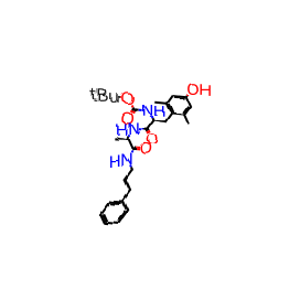 Cc1cc(O)cc(C)c1C[C@H](NC(=O)OC(C)(C)C)C(=O)N[C@H](C)C(=O)NCCCc1ccccc1